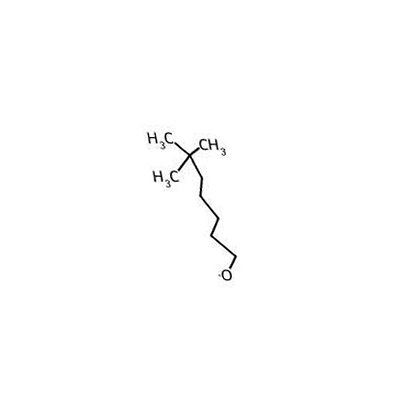 CC(C)(C)CCCCC[O]